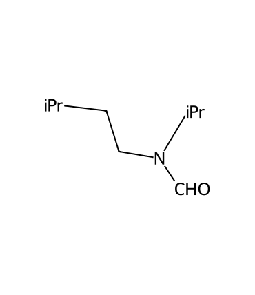 CC(C)CCN(C=O)C(C)C